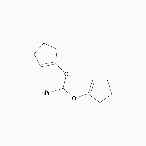 [CH2]CCC(OC1=CCCC1)OC1=CCCC1